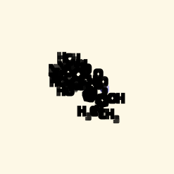 CC(NC1CC2[C@](C)(CC[C@@H](O)[C@@]2(C)CO)C(CC(Nc2ccccn2)C2=C/C(=C\c3ccc(N(C)C)cc3O)OC2=O)C12CO2)C(=O)NC1=NCC=N1